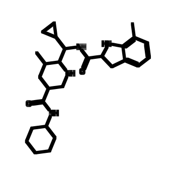 Cc1cccc2c1NC(C(=O)NC(C1CC1)C1NCC(C(=O)NC3CCCCC3)CC1C)C2